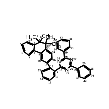 CC1(C)c2ccccc2-c2cc(-c3ccccc3-c3nc(-c4ccccc4)nc(-c4ccccc4)n3)ccc2C1(C)C